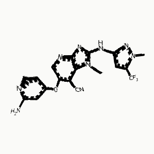 Cn1nc(Nc2nc3ncc(Oc4ccnc(N)c4)c(C#N)c3n2C)cc1C(F)(F)F